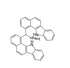 CCCCCC(c1cccc2ccc3c4ccccc4[nH]c3c12)c1cccc2ccc3c4ccccc4[nH]c3c12